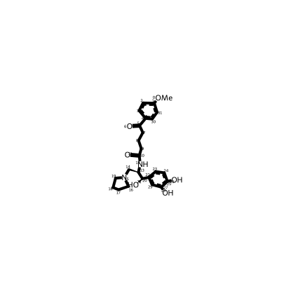 COc1ccc(C(=O)CCCC(=O)N[C@H](CN2CCCC2)[C@H](O)c2ccc(O)c(O)c2)cc1